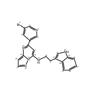 Brc1cncc(-c2cc(NCCc3c[nH]c4ccccc34)n3nccc3n2)c1